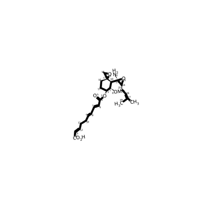 CO[C@@H]1[C@H](OC(=O)/C=C/C=C/CC/C=C/C(=O)O)CC[C@]2(CO2)[C@H]1[C@@]1(N)O[C@@H]1CC=C(C)C